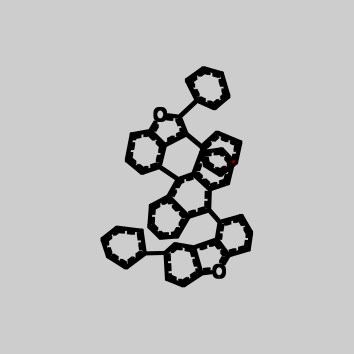 c1ccc(-c2ccc3oc4cccc(-c5c6ccccc6c(-c6cccc7oc(-c8ccccc8)c(-c8ccccc8)c67)c6ccccc56)c4c3c2)cc1